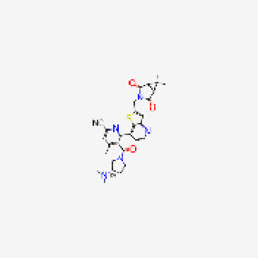 Cc1cc(C#N)nc(-c2ccnc3cc(CN4C(=O)C5C(C4=O)C5(C)C)sc23)c1C(=O)N1CC[C@H](N(C)C)C1